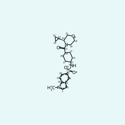 Cn1ccc2cc(S(=O)(=O)NC3CCC(C(=O)N4CCOC[C@@H]4C4CC4)CC3)ccc21